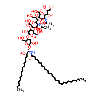 CCCCCCCC/C=C\CCCCCCCCCCCCCCCC(=O)N[C@@H](CO[C@@H]1OC(CO)[C@@H](O[C@@H]2OC(CO)[C@H](O)[C@H](O[C@]3(C(=O)O)CC(O)[C@@H](NC(C)=O)C([C@H](O)[C@@H](CO)O[C@]4(C(=O)O)CC(O)[C@@H](NC(C)=O)C([C@H](O)[C@H](O)CO)O4)O3)C2O)[C@H](O)C1O)[C@H](O)/C=C/CCCCCCCCCCCCC